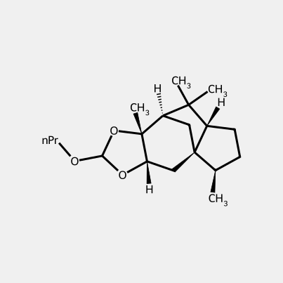 CCCOC1O[C@H]2C[C@@]34C[C@H](C(C)(C)[C@@H]3CC[C@H]4C)[C@@]2(C)O1